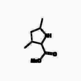 COC(=O)C1NC(C)CC1C